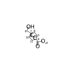 COC(=O)C12CCC(CO)(CC1)CC2